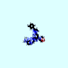 Cc1cccc(-c2ccn(-c3cc(N4CCOCC4)c4nc(CN5CC[C@@H](N(C)C)C5)[nH]c4n3)n2)c1